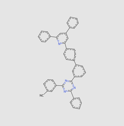 N#Cc1cccc(-c2nc(-c3ccccc3)nc(-c3cccc(-c4ccc(-c5cc(-c6ccccc6)cc(-c6ccccc6)n5)cc4)c3)n2)c1